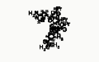 CC(C)OC(=O)[C@H](C)NP(=O)(OC[C@H]1O[C@@H](c2ccc3c(N)ncnn23)[C@H](OC(=O)C(C)C)[C@@H]1OC(=O)C(C)C)Oc1ccc(C(=O)N(C)C)cc1